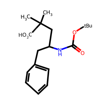 CC(C)(C)OC(=O)NC(Cc1ccccc1)CC(C)(C)C(=O)O